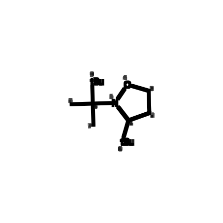 CC(C)(C)C1CCON1C(C)(C)C(C)(C)C